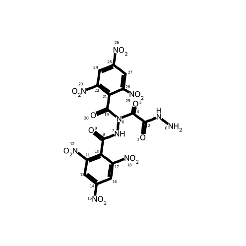 NNC(=O)C(=O)N(NC(=O)c1c([N+](=O)[O-])cc([N+](=O)[O-])cc1[N+](=O)[O-])C(=O)c1c([N+](=O)[O-])cc([N+](=O)[O-])cc1[N+](=O)[O-]